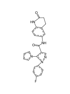 O=C1CCc2cc(NC(=O)c3cnn(-c4ccc(F)cc4)c3-n3cccc3)ccc2N1